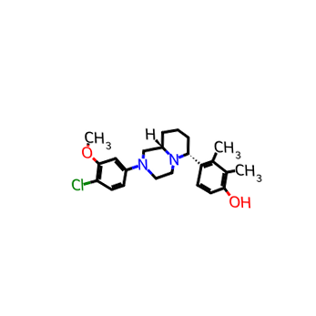 COc1cc(N2CCN3[C@@H](CCC[C@@H]3c3ccc(O)c(C)c3C)C2)ccc1Cl